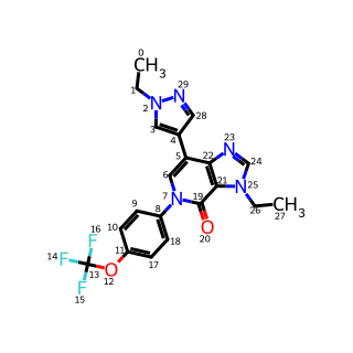 CCn1cc(-c2cn(-c3ccc(OC(F)(F)F)cc3)c(=O)c3c2ncn3CC)cn1